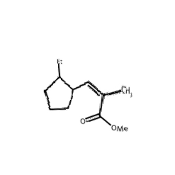 CCC1CCCC1C=C(C)C(=O)OC